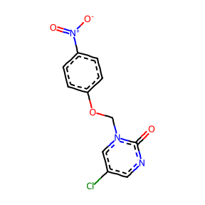 O=c1ncc(Cl)cn1COc1ccc([N+](=O)[O-])cc1